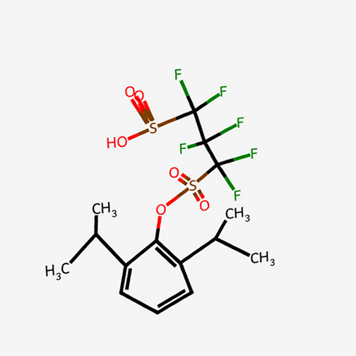 CC(C)c1cccc(C(C)C)c1OS(=O)(=O)C(F)(F)C(F)(F)C(F)(F)S(=O)(=O)O